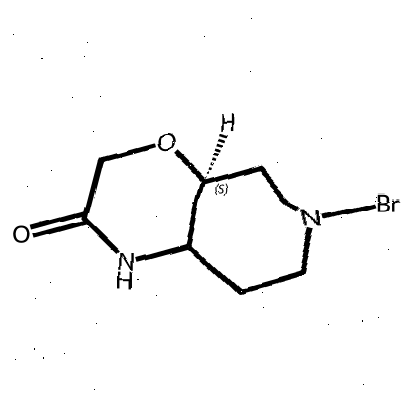 O=C1CO[C@H]2CN(Br)CCC2N1